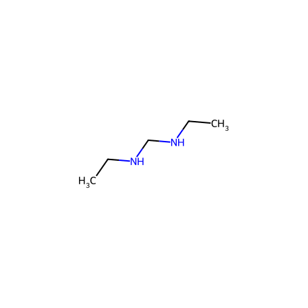 CCNCNCC